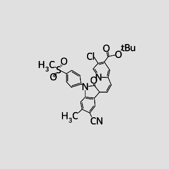 Cc1cc2c(cc1C#N)C(/C=C\c1cc(C(=O)OC(C)(C)C)c(Cl)cn1)C(=O)N2c1ccc(S(C)(=O)=O)cc1